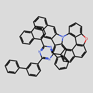 c1ccc(-c2cccc(-c3nc(-c4ccc5ccc6oc7cccc(-n8c9cc%10ccccc%10cc9c9cc%10ccccc%10cc98)c7c6c5c4)nc(-c4cccc5ccccc45)n3)c2)cc1